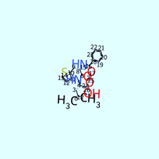 CC(C)C[C@H](NC(=O)[C@H](CC1CC=CS1)NC(=O)c1ccccc1)C(=O)O